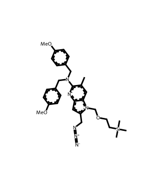 COc1ccc(CN(Cc2ccc(OC)cc2)c2nc3cc(CN=[N+]=[N-])n(COCC[Si](C)(C)C)c3cc2C)cc1